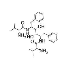 CC(C)[C@H](N)C(=O)N[C@@H](Cc1ccccc1)[C@H](O)[C@@H](O)[C@H](Cc1ccccc1)NC(=O)[C@@H](N)C(C)C